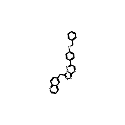 c1ccc(COc2ccc(-c3cnc4nnc(Cc5ccc6ncccc6c5)n4n3)cc2)cc1